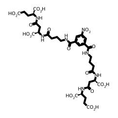 O=C(O)CC[C@H](NC(=O)C[C@@H](NC(=O)CCCNC(=O)c1cc(C(=O)NCCCC(=O)N[C@H](CC(=O)N[C@@H](CCC(=O)O)C(=O)O)C(=O)O)cc([N+](=O)[O-])c1)C(=O)O)C(=O)O